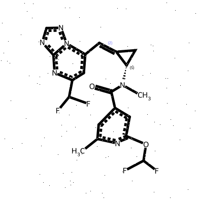 Cc1cc(C(=O)N(C)[C@H]2C/C2=C/c2cc(C(F)F)nc3ncnn23)cc(OC(F)F)n1